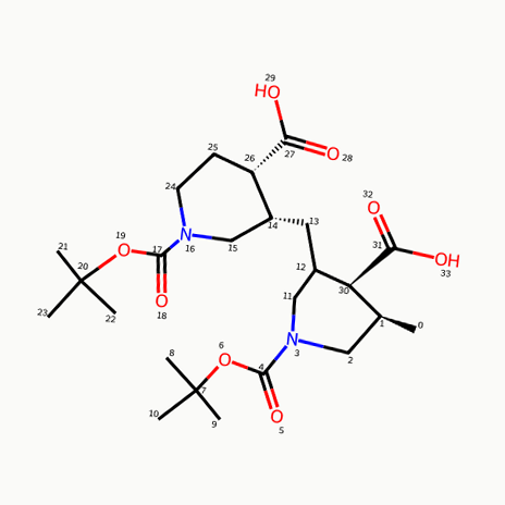 C[C@H]1CN(C(=O)OC(C)(C)C)CC(C[C@@H]2CN(C(=O)OC(C)(C)C)CC[C@@H]2C(=O)O)[C@H]1C(=O)O